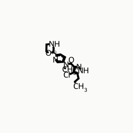 CCCc1[nH]nc(C(=O)N(C)c2ccc([C@@H]3CNCCO3)nc2)c1Cl